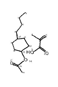 C=C(C)C(=O)O.CCCCC1CCC(OC(C)=O)CC1